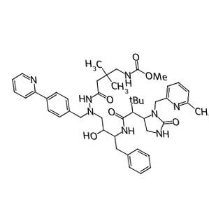 COC(=O)NCC(C)(C)CC(=O)NN(Cc1ccc(-c2ccccn2)cc1)CC(O)C(Cc1ccccc1)NC(=O)C(C1CNC(=O)N1Cc1cccc(C)n1)C(C)(C)C